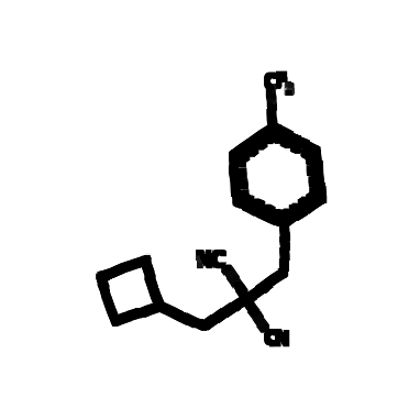 N#CC(C#N)(Cc1ccc(C(F)(F)F)cc1)CC1CCC1